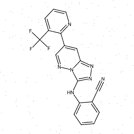 N#Cc1ccccc1Nc1nnc2cc(-c3ncccc3C(F)(F)F)cnn12